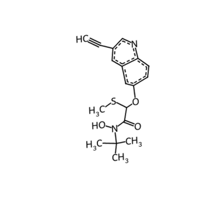 C#Cc1cnc2ccc(OC(SC)C(=O)N(O)C(C)(C)C)cc2c1